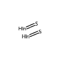 [S]=[InH].[S]=[InH]